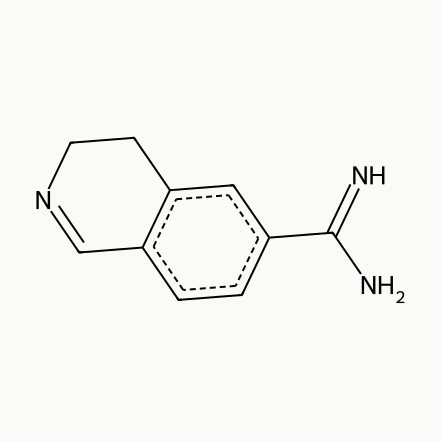 N=C(N)c1ccc2c(c1)CCN=C2